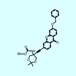 CC(C)(C)OC(=O)NC1(C#Cc2ccc3c(=O)c4ccc(OCc5ccccc5)cc4oc3c2)COC(C)(C)OC1